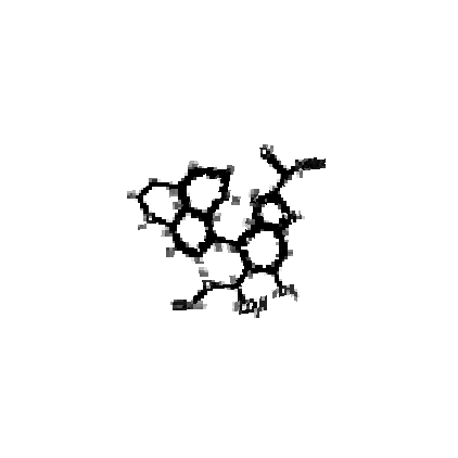 CNC(=O)c1nc2cc(C)c([C@H](OC(C)(C)C)C(=O)O)c(-c3ccc4c5c(ccnc35)CCO4)c2s1